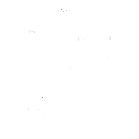 COC(=O)c1cccc(Nc2cc(-c3cc(C(=O)NC(C)(C)C)cc(N4CCN(C(=O)OC(C)(C)C)CC4)n3)ccn2)c1C